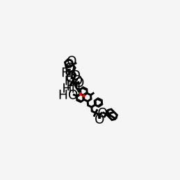 CC(CC(CC(CC(C)(C)C(=O)OC1(C)C2CC3CC(C2)CC1C3)c1ccccc1)c1ccc(O)cc1)c1ccc(NC(=O)C(F)(F)S(=O)(=O)OC(CC2(C)OCCCO2)C(F)(F)F)cc1